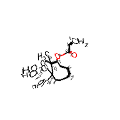 C=CC(=O)OC1CCCC(CCC)(C(=O)O)C1(C)C(=O)O